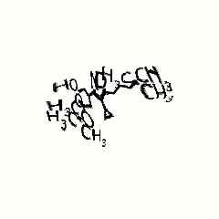 CC(C)(C)CCCc1onc(C(CCO)CC(=O)OC(C)(C)C)c1C1CC1